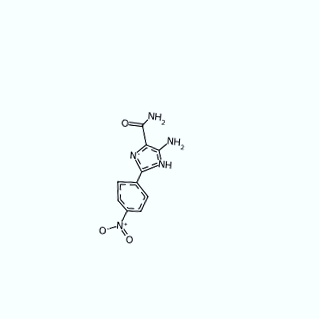 NC(=O)c1nc(-c2ccc([N+](=O)[O-])cc2)[nH]c1N